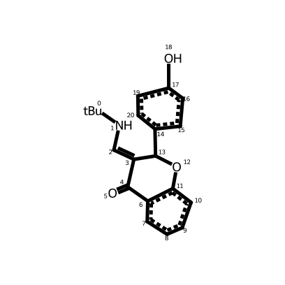 CC(C)(C)NC=C1C(=O)c2ccccc2OC1c1ccc(O)cc1